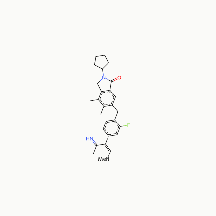 CN/C=C(\C(C)=N)c1ccc(Cc2cc3c(c(C)c2C)CN(C2CCCC2)C3=O)c(F)c1